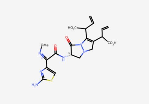 C=CC(C(=O)O)C1=C(C(C=C)C(=O)O)N2C(=O)[C@@H](NC(=O)/C(=N\OC)c3csc(N)n3)CN2C1